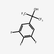 OC(c1cc(F)c(F)c(F)c1)(C(F)(F)F)C(F)(F)F